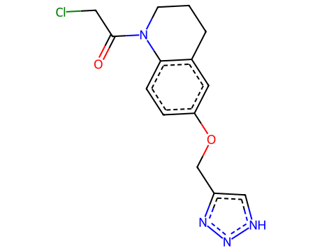 O=C(CCl)N1CCCc2cc(OCc3c[nH]nn3)ccc21